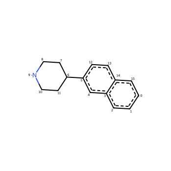 [c]1ccc2cc(C3CC[N]CC3)ccc2c1